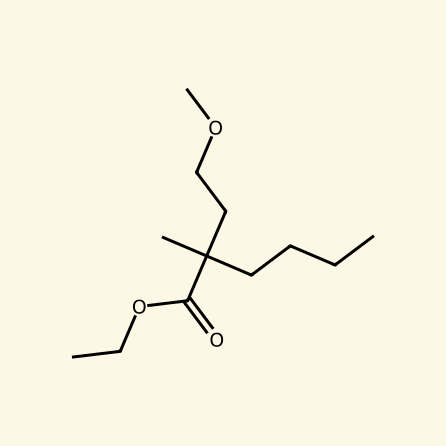 CCCCC(C)(CCOC)C(=O)OCC